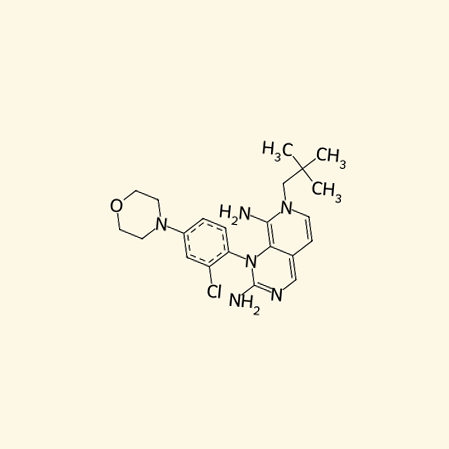 CC(C)(C)CN1C=CC2=CN=C(N)N(c3ccc(N4CCOCC4)cc3Cl)C2=C1N